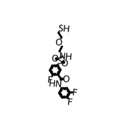 O=C(Nc1ccc(F)c(F)c1)c1cc(S(=O)(=O)NCCOCCS)ccc1F